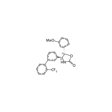 COc1cccc([C@@H]2OC(=O)N[C@H]2c2cccc(-c3ccccc3C(F)(F)F)c2)c1